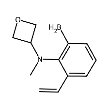 Bc1cccc(C=C)c1N(C)C1COC1